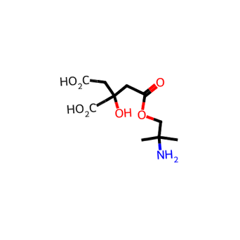 CC(C)(N)COC(=O)CC(O)(CC(=O)O)C(=O)O